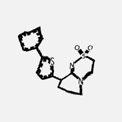 O=S1(=O)CCN2CCCC(c3ccc(-c4ccccc4)s3)C2=N1